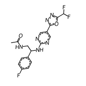 CC(=O)NCC(Nc1ncc(-c2nnc(C(F)F)o2)cn1)c1ccc(F)cc1